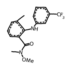 CON(C)C(=O)c1cccc(C)c1Nc1cccc(C(F)(F)F)c1